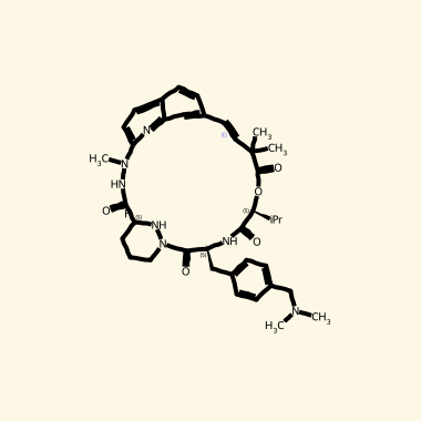 CC(C)[C@@H]1OC(=O)C(C)(C)/C=C/c2ccc3ccc(nc3c2)N(C)NC(=O)[C@@H]2CCCN(N2)C(=O)[C@H](Cc2ccc(CN(C)C)cc2)NC1=O